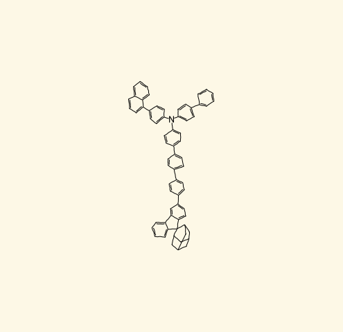 c1ccc(-c2ccc(N(c3ccc(-c4ccc(-c5ccc(-c6ccc7c(c6)-c6ccccc6C76C7CC8CC(C7)CC6C8)cc5)cc4)cc3)c3ccc(-c4cccc5ccccc45)cc3)cc2)cc1